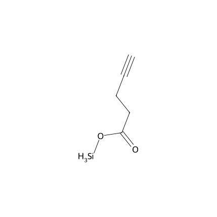 C#CCCC(=O)O[SiH3]